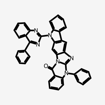 O=c1c2ccccc2n(-c2ccccc2)c2nc3cc4c5ccccc5n(-c5nc(-c6ccccc6)c6ccccc6n5)c4cc3n12